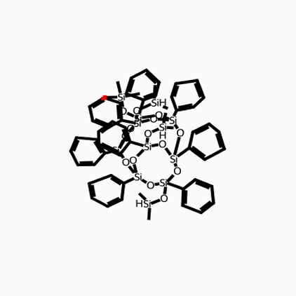 C[SiH](C)O[Si]1(c2ccccc2)O[Si]2(c3ccccc3)O[Si](O[SiH](C)C)(c3ccccc3)O[Si](c3ccccc3)(O1)O[Si]1(c3ccccc3)O[Si](O[SiH](C)C)(c3ccccc3)O[Si](c3ccccc3)(O[Si](O[Si](C)(C)C)(c3ccccc3)O1)O2